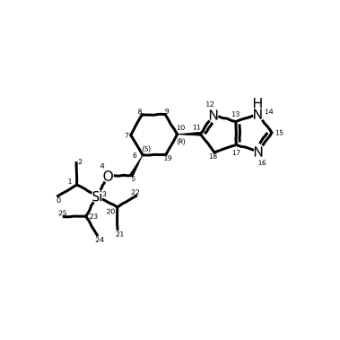 CC(C)[Si](OC[C@H]1CCC[C@@H](C2=Nc3[nH]cnc3C2)C1)(C(C)C)C(C)C